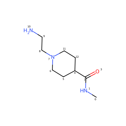 CNC(=O)C1CCN(CCN)CC1